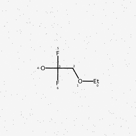 CCOCC([O])(F)F